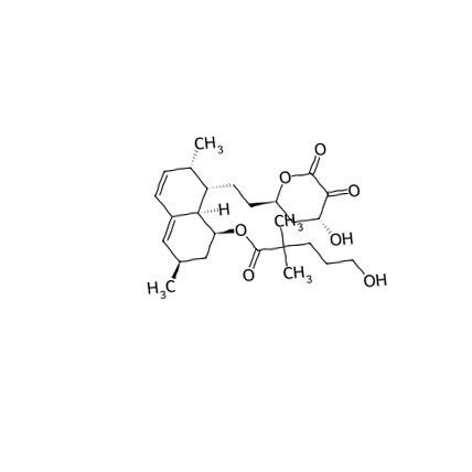 C[C@H]1C=C2C=C[C@H](C)[C@H](CC[C@@H]3C[C@@H](O)C(=O)C(=O)O3)[C@H]2[C@@H](OC(=O)C(C)(C)CCCO)C1